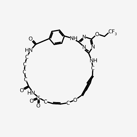 O=C1CCCCNC(=O)c2ccc(cc2)Nc2nc(nc(OCC(F)(F)F)n2)NCc2ccc(cc2)OCC=CCS(=O)(=O)N1